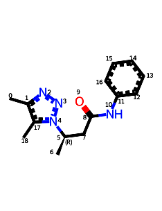 Cc1nnn([C@H](C)CC(=O)Nc2ccccc2)c1C